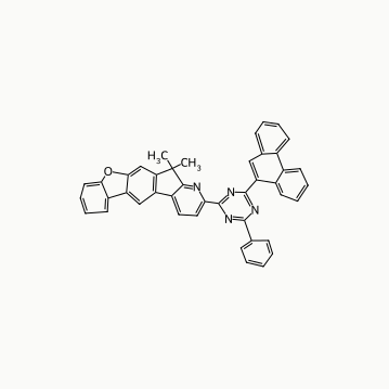 CC1(C)c2cc3oc4ccccc4c3cc2-c2ccc(-c3nc(-c4ccccc4)nc(-c4cc5ccccc5c5ccccc45)n3)nc21